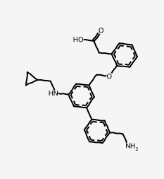 NCc1cccc(-c2cc(COc3ccccc3CC(=O)O)cc(NCC3CC3)c2)c1